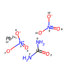 NC(N)=O.O=[N+]([O-])[O-].O=[N+]([O-])[O-].[Pb+2]